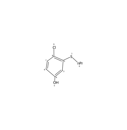 CCCSc1cc(O)ccc1Cl